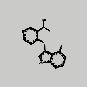 Cc1cccc2[nH]cc(Sc3ccccc3C(C)N)c12